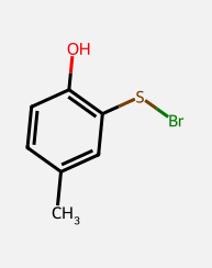 Cc1ccc(O)c(SBr)c1